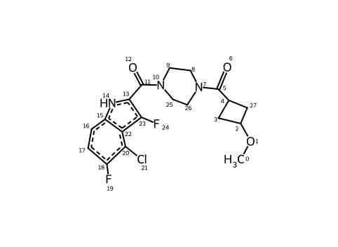 COC1CC(C(=O)N2CCN(C(=O)c3[nH]c4ccc(F)c(Cl)c4c3F)CC2)C1